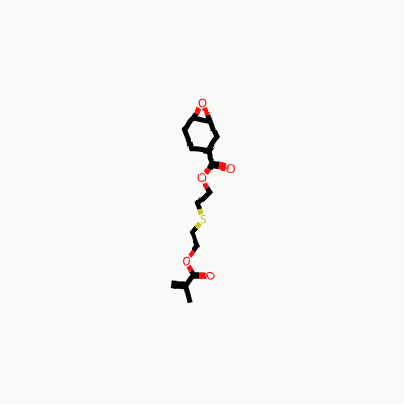 C=C(C)C(=O)OCCSCCOC(=O)C1CCC2OC2C1